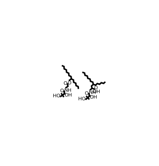 CCCCCCCCC(CCCCCC)CC(CNC(=O)[C@H](O)C(C)(C)CO)C(=O)O.CCCCCCCCC(CCCCCC)COC(=O)CCNC(=O)[C@H](O)C(C)(C)CO